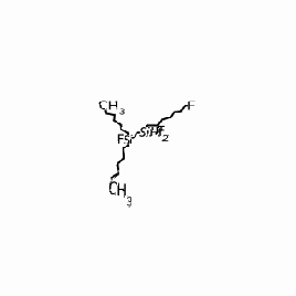 CCCCCCC[Si](F)(CCCCCCC)CC[SiH2]CC(F)CCCCCF